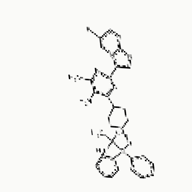 CC(C)(C)[Si](OC1CCC(c2nc(-c3cnc4ccc(F)cn34)nc(N)c2N)CC1)(c1ccccc1)c1ccccc1